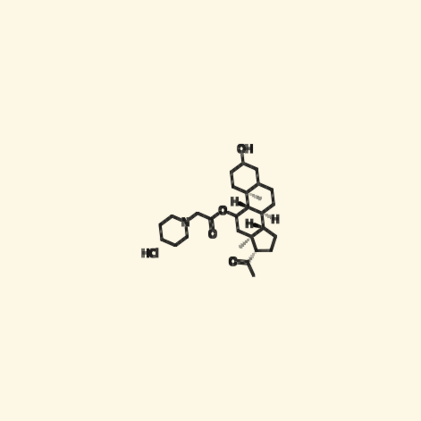 CC(=O)[C@H]1CC[C@H]2[C@@H]3CCC4CC(O)CC[C@]4(C)[C@H]3C(OC(=O)CN3CCCCC3)C[C@]12C.Cl